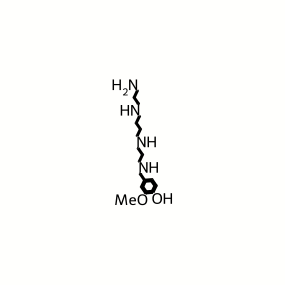 COc1cc(CNCCCNCCCCNCCCN)ccc1O